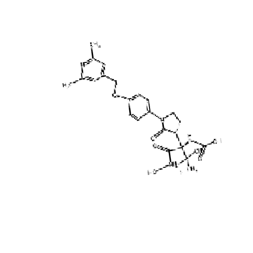 Cc1cc(COc2ccc(N3CC[C@H]([C@@](NC(=O)O)(C(=O)NO)C(C)(C)C)C3=O)cc2)cc(C)n1